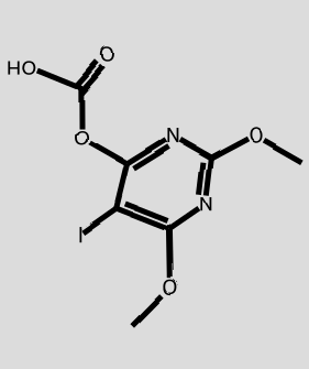 COc1nc(OC)c(I)c(OC(=O)O)n1